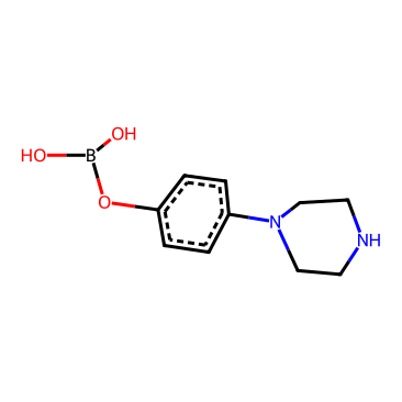 OB(O)Oc1ccc(N2CCNCC2)cc1